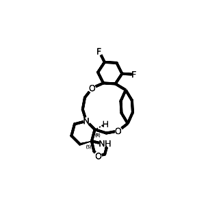 FC1CC(F)C2C3CCC(CC3)OC[C@@H]3N(CCC[C@@]34COCCN4)CCOC2C1